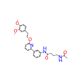 COc1ccc(CCOc2cccc(-c3cccc(NC(=O)CCCNC(C)=O)c3)n2)cc1OC